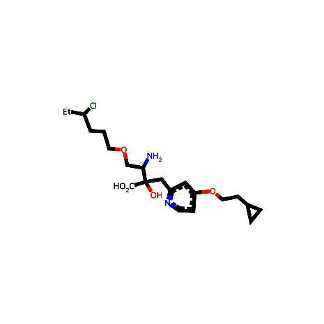 CCC(Cl)CCCOCC(N)C(O)(Cc1cc(OCCC2CC2)ccn1)C(=O)O